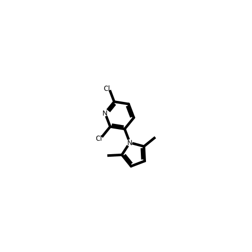 Cc1ccc(C)n1-c1ccc(Cl)nc1Cl